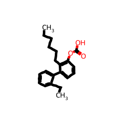 CCCCCCc1c(OC(=O)O)cccc1-c1ccccc1CC